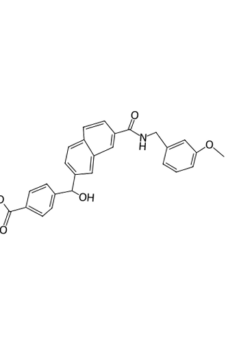 COc1cccc(CNC(=O)c2ccc3ccc(C(O)c4ccc(C(=O)O)cc4)cc3c2)c1